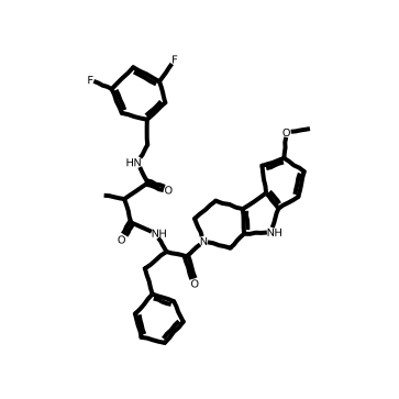 COc1ccc2[nH]c3c(c2c1)CCN(C(=O)C(Cc1ccccc1)NC(=O)C(C)C(=O)NCc1cc(F)cc(F)c1)C3